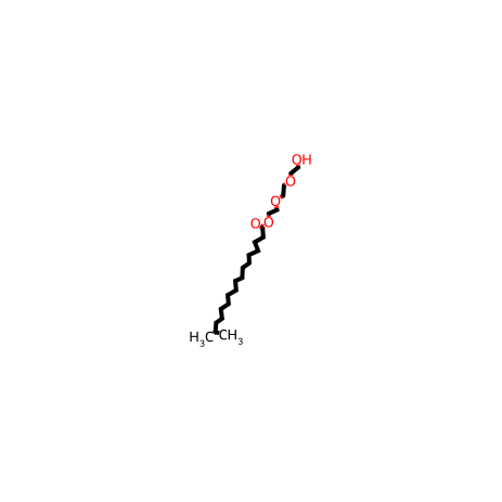 CC(C)CCCCCCCCCCCCCCC(=O)OCCOCCOCCO